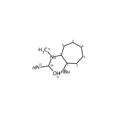 CCCCC1CCCCCC1N(C)C(O)CCC